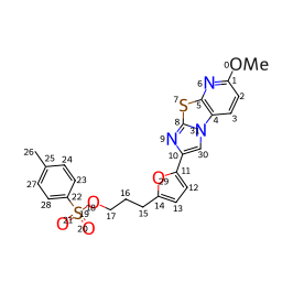 COc1ccc2c(n1)sc1nc(-c3ccc(CCCOS(=O)(=O)c4ccc(C)cc4)o3)cn12